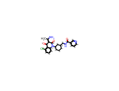 C/C(N)=C1\C(=O)c2c(Cl)cccc2N(C2CCCC(CNC(=O)c3cccnc3)C2)C1=O